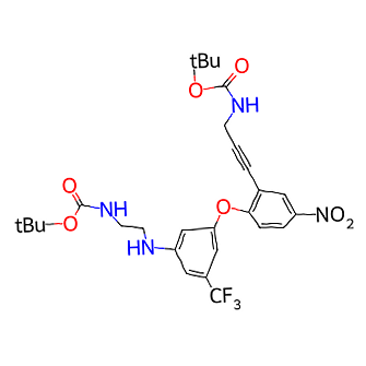 CC(C)(C)OC(=O)NCC#Cc1cc([N+](=O)[O-])ccc1Oc1cc(NCCNC(=O)OC(C)(C)C)cc(C(F)(F)F)c1